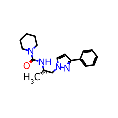 C[C@H](Cn1ccc(-c2ccccc2)n1)NC(=O)N1CCCCC1